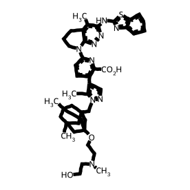 Cc1c(Nc2nc3ccccc3s2)nnc2c1CCCN2c1ccc(-c2cnn(CC34CC5(C)CC(C)(C3)CC(OCCN(C)CCO)(C5)C4)c2C)c(C(=O)O)n1